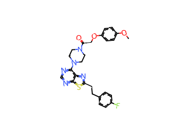 COc1ccc(OCC(=O)N2CCN(c3ncnc4sc(CCc5ccc(F)cc5)nc34)CC2)cc1